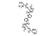 CCOC(=O)C(CSSC(=O)[C@@H](N)CS)NC(=O)c1cccc(-c2cccc(C(=O)NC(CSSC(=O)[C@@H](N)CS)C(=O)OCC)n2)n1